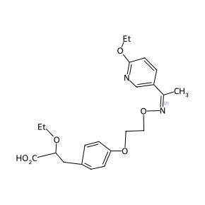 CCOc1ccc(/C(C)=N\OCCOc2ccc(CC(OCC)C(=O)O)cc2)cn1